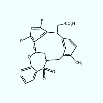 Cc1ccc2cc1CN1C[C@H](Oc3ccccc3S1(=O)=O)c1cc(c(F)cc1F)C2CC(=O)O